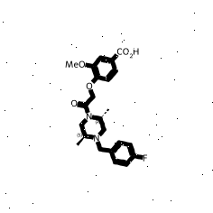 COc1cc(C(=O)O)ccc1OCC(=O)N1C[C@H](C)N(Cc2ccc(F)cc2)C[C@H]1C